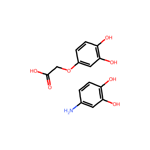 Nc1ccc(O)c(O)c1.O=C(O)COc1ccc(O)c(O)c1